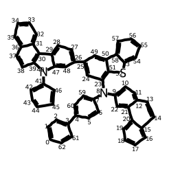 c1ccc(-c2ccc(N(c3ccc4ccc5ccccc5c4c3)c3cc(-c4ccc5c6c7ccccc7ccc6n(-c6ccccc6)c5c4)cc4c3sc3ccccc34)cc2)cc1